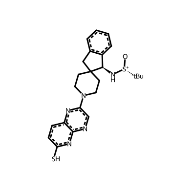 CC(C)(C)[S@@+]([O-])N[C@@H]1c2ccccc2CC12CCN(c1cnc3nc(S)ccc3n1)CC2